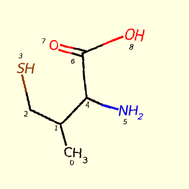 CC(CS)C(N)C(=O)O